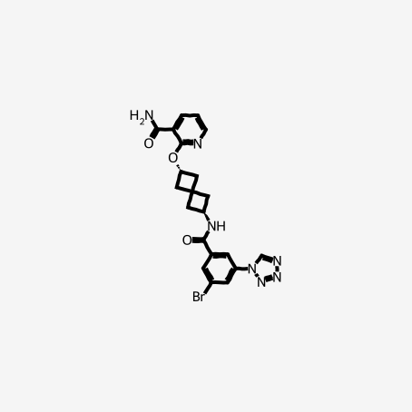 NC(=O)c1cccnc1O[C@H]1CC2(C[C@H](NC(=O)c3cc(Br)cc(-n4cnnn4)c3)C2)C1